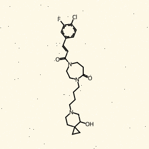 O=C(C=Cc1ccc(Cl)c(F)c1)N1CCC(=O)N(CCCCN2CCC3(CC3)C(O)C2)CC1